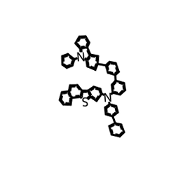 c1ccc(-c2ccc(N(c3cccc(-c4cccc(-c5ccc6c(c5)c5ccccc5n6-c5ccccc5)c4)c3)c3ccc4c(c3)sc3c5ccccc5ccc43)cc2)cc1